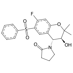 CC1(C)Oc2cc(F)c(S(=O)(=O)c3ccccc3)cc2[C@@H](N2CCCC2=O)[C@@H]1O